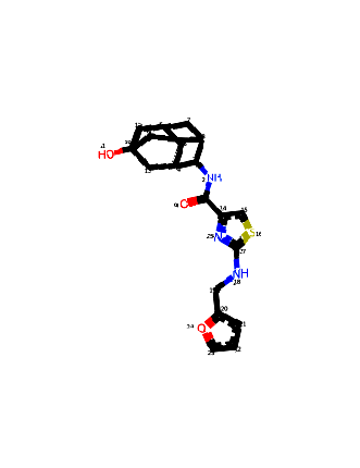 O=C(NC1C2CC3CC1CC(O)(C3)C2)c1csc(NCc2ccco2)n1